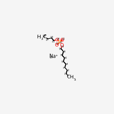 CCCCCCCCCCOP(=O)([O-])OCCCC.[Na+]